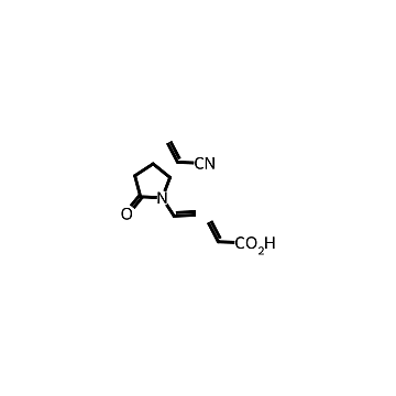 C=CC#N.C=CC(=O)O.C=CN1CCCC1=O